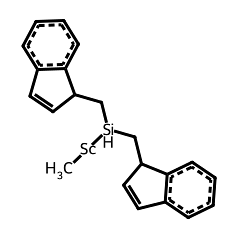 [CH3][Sc][SiH](CC1C=Cc2ccccc21)CC1C=Cc2ccccc21